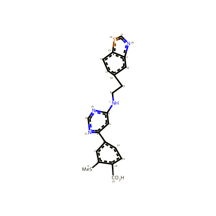 CSc1cc(-c2cc(NCCc3ccc4scnc4c3)ncn2)ccc1C(=O)O